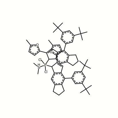 Cc1ccc(C2=Cc3c(cc4c(c3-c3cc(C(C)(C)C)cc(C(C)(C)C)c3)CCC4)[CH]2[Zr]([Cl])([Cl])([CH]2C(c3ccc(C)o3)=Cc3c2cc2c(c3-c3cc(C(C)(C)C)cc(C(C)(C)C)c3)CCC2)[SiH](C)C)o1